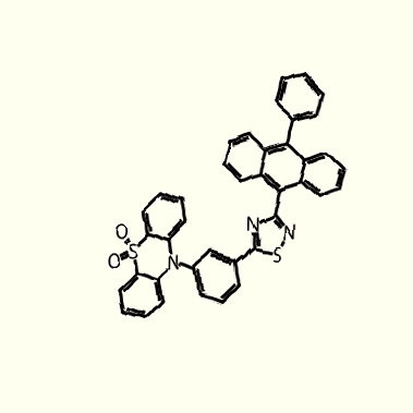 O=S1(=O)c2ccccc2N(c2cccc(-c3nc(-c4c5ccccc5c(-c5ccccc5)c5ccccc45)ns3)c2)c2ccccc21